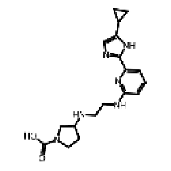 O=C(O)N1CCC(NCCNc2cccc(-c3ncc(C4CC4)[nH]3)n2)C1